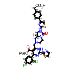 COC(=O)C1=C(CN2CCN3C(=O)N(c4nc(-c5ccc(CC(=O)O)cc5)cs4)C[C@@H]3C2)NC(c2nccs2)=NC1c1ccc(F)cc1Cl